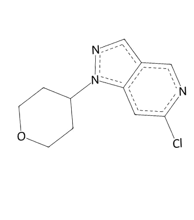 Clc1cc2c(cn1)cnn2C1CCOCC1